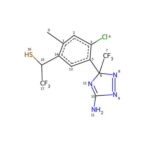 Cc1cc(Cl)c(C2(C(F)(F)F)N=NC(N)=N2)cc1C(S)C(F)(F)F